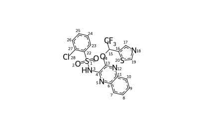 O=S(=O)(Nc1nc2ccccc2nc1OC(c1cncs1)C(F)(F)F)c1ccccc1Cl